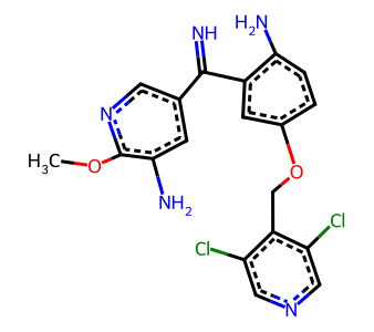 COc1ncc(C(=N)c2cc(OCc3c(Cl)cncc3Cl)ccc2N)cc1N